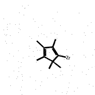 CC1=C(C)C(C)(C)[C]([Zr])=C1C